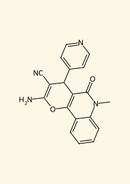 Cn1c(=O)c2c(c3ccccc31)OC(N)=C(C#N)C2c1ccncc1